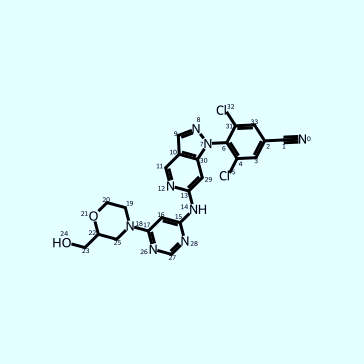 N#Cc1cc(Cl)c(-n2ncc3cnc(Nc4cc(N5CCOC(CO)C5)ncn4)cc32)c(Cl)c1